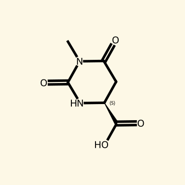 CN1C(=O)C[C@@H](C(=O)O)NC1=O